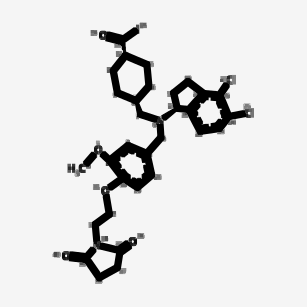 COc1cc(CN(C[C@H]2CC[C@H](C(=O)I)CC2)[C@H]2CCc3c2ccc(Cl)c3Cl)ccc1OCCN1C(=O)CCC1=O